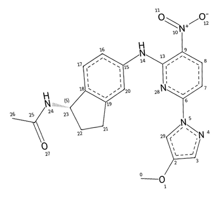 COc1cnn(-c2ccc([N+](=O)[O-])c(Nc3ccc4c(c3)CC[C@@H]4NC(C)=O)n2)c1